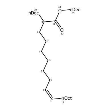 CCCCCCCC/C=C\CCCCCCC(CCCCCCCCCC)C(=O)OCCCCCCCCCC